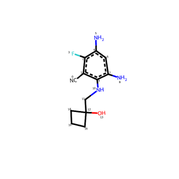 N#Cc1c(F)c(N)cc(N)c1NCC1(O)CCC1